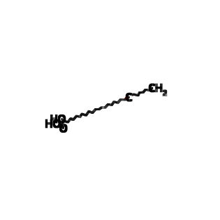 C=CCCCCCCCCCCCCCCCCCCCCCCCC=CCC(O)C(=O)O